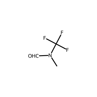 CN(C=O)C(F)(F)F